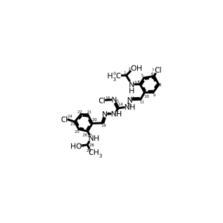 CC(O)Nc1cc(Cl)ccc1/C=N/NC(=NCl)N/N=C/c1ccc(Cl)cc1NC(C)O